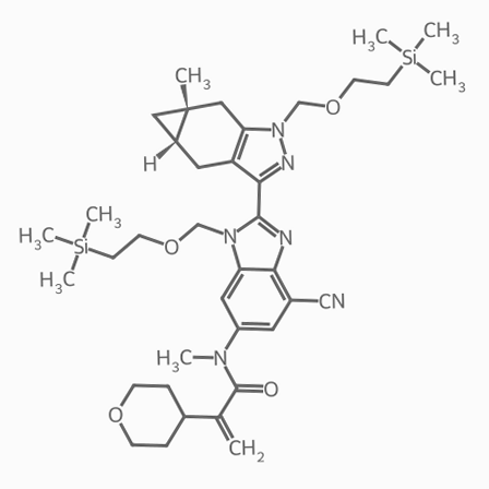 C=C(C(=O)N(C)c1cc(C#N)c2nc(-c3nn(COCC[Si](C)(C)C)c4c3C[C@@H]3C[C@]3(C)C4)n(COCC[Si](C)(C)C)c2c1)C1CCOCC1